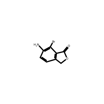 Nc1ccc2c(c1Br)C(=O)OC2